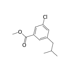 COC(=O)c1cc(Cl)cc(CC(C)C)c1